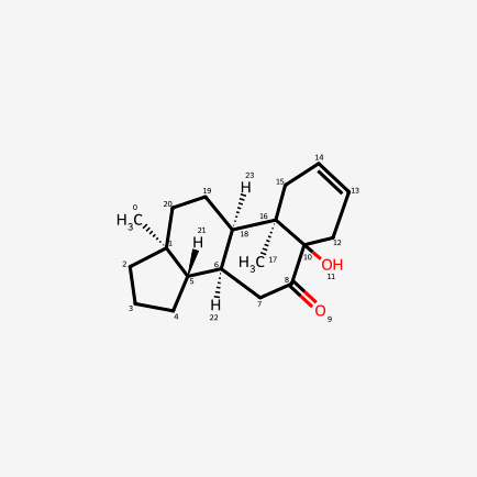 C[C@@]12CCC[C@H]1[C@@H]1CC(=O)C3(O)CC=CC[C@]3(C)[C@@H]1CC2